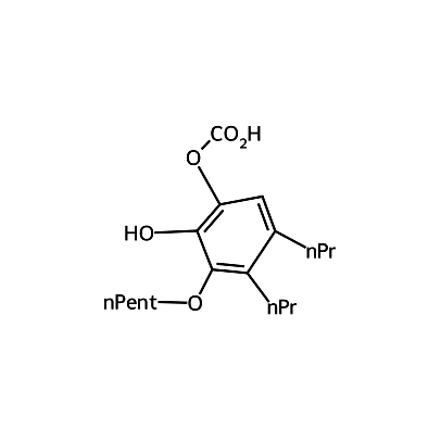 CCCCCOc1c(O)c(OC(=O)O)cc(CCC)c1CCC